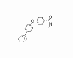 CN(C)C(=O)c1ccc(Oc2ccc(C3CC4CCC3C4)cc2)cc1